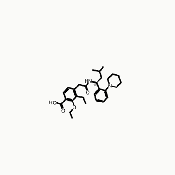 CCOc1c(C(=O)O)ccc(CC(=O)N[C@@H](CC(C)C)c2ccccc2N2CCCCC2)c1CC